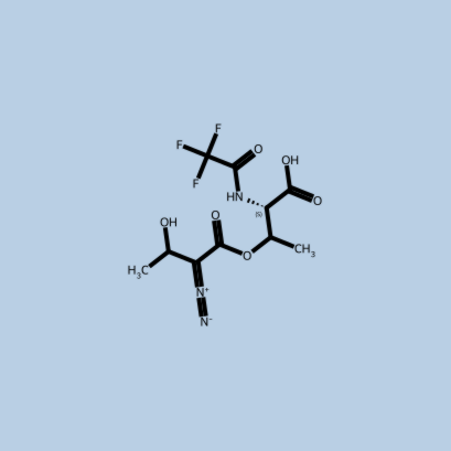 CC(O)C(=[N+]=[N-])C(=O)OC(C)[C@H](NC(=O)C(F)(F)F)C(=O)O